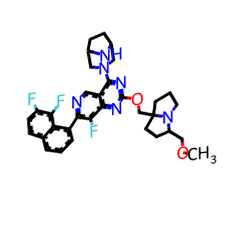 COCC1CCC2(COc3nc(N4CC5CCC(C4)N5)c4cnc(-c5cccc6ccc(F)c(F)c56)c(F)c4n3)CCCN12